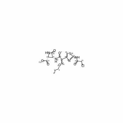 CCCON=C(C(=O)N[C@H]1C(=O)N[C@H]1C(=O)OC)c1csc(NC(=O)CCl)n1